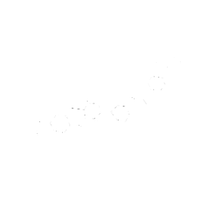 Cn1cc(-c2cccc(NC(=O)c3ccc(C(C)(C)C)cc3)c2F)nc(Nc2ccc(N3CC[SH2]CC3=O)cc2)c1=O